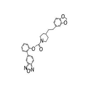 O=C(COc1ccccc1-c1ccc2nonc2c1)N1CCC(CCc2ccc3c(c2)OCO3)CC1